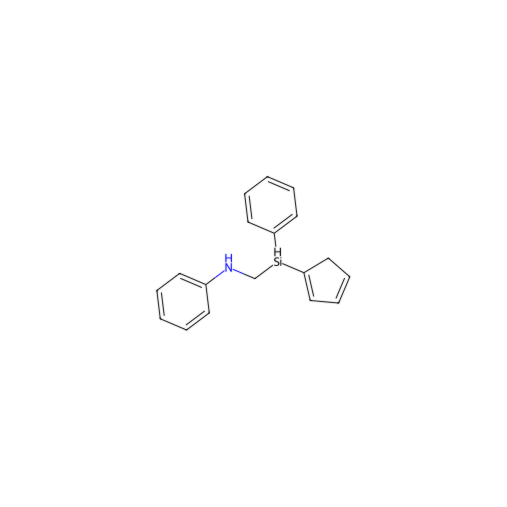 C1=CCC([SiH](CNc2ccccc2)c2ccccc2)=C1